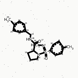 CN=[S@](=O)(c1ccc(C)cc1)N1CCCC1C(=O)NCc1ccc(C)cc1